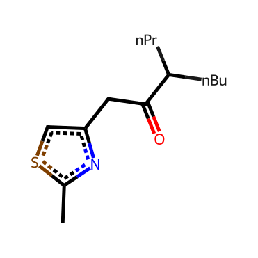 CCCCC(CCC)C(=O)Cc1csc(C)n1